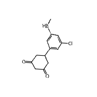 CBc1cc(Cl)cc(C2CC(=O)CC(=O)C2)c1